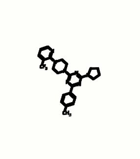 Cc1ccc(-c2nc(N3CCCC3)nc(N3CCN(c4ncccc4C(F)(F)F)CC3)n2)cc1